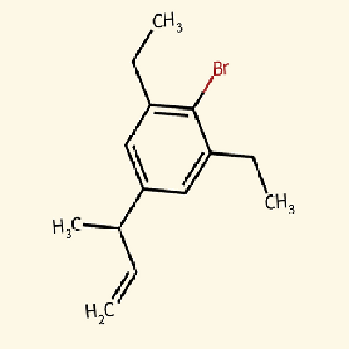 C=CC(C)c1cc(CC)c(Br)c(CC)c1